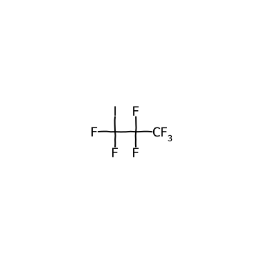 FC(F)(F)C(F)(F)C(F)(F)I